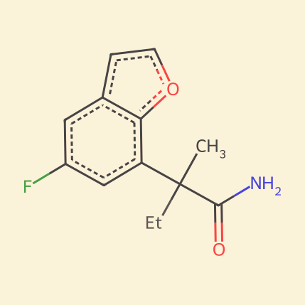 CCC(C)(C(N)=O)c1cc(F)cc2ccoc12